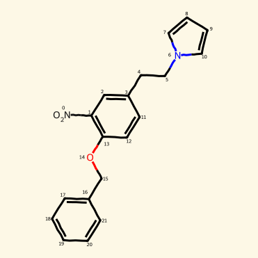 O=[N+]([O-])c1cc(CCn2cccc2)ccc1OCc1ccccc1